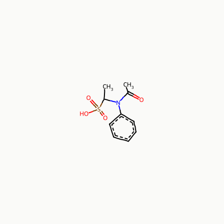 CC(=O)N(c1ccccc1)C(C)S(=O)(=O)O